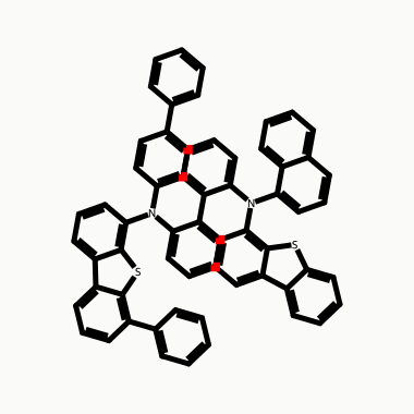 c1ccc(-c2ccc(N(c3ccccc3-c3ccccc3N(c3cccc4ccccc34)c3cccc4c3sc3ccccc34)c3cccc4c3sc3c(-c5ccccc5)cccc34)cc2)cc1